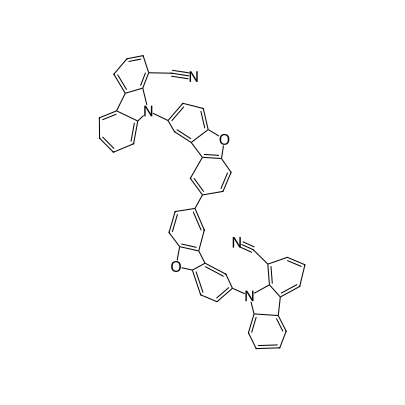 N#Cc1cccc2c3ccccc3n(-c3ccc4oc5ccc(-c6ccc7oc8ccc(-n9c%10ccccc%10c%10cccc(C#N)c%109)cc8c7c6)cc5c4c3)c12